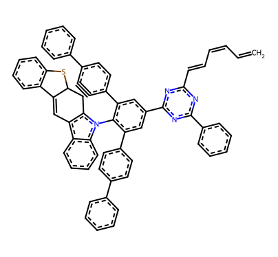 C=C/C=C\C=C\c1nc(-c2ccccc2)nc(-c2cc(-c3c#cc(-c4ccccc4)cc3)c(-n3c4c(c5ccccc53)C=C3c5ccccc5SC3C4)c(-c3ccc(-c4ccccc4)cc3)c2)n1